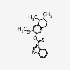 COc1cc2c(cc1OC(=S)n1cnc3ccccc31)CCC(C)C2C